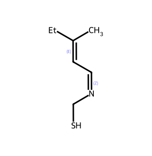 CC/C(C)=C/C=N\CS